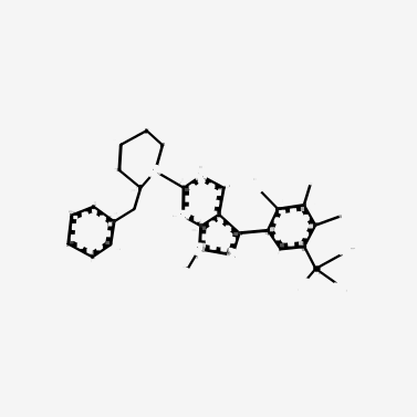 Cn1nc(-c2cc(C(F)(F)F)c(F)c(O)c2F)c2cnc(N3CCCCC3Cc3ccccc3)nc21